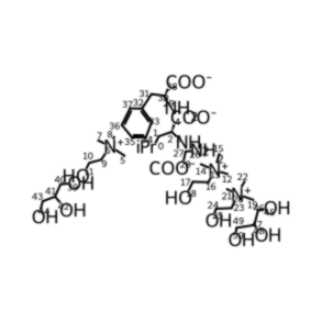 CC(C)C[C@H](N)C(=O)[O-].C[N+](C)(C)CCO.C[N+](C)(C)CCO.C[N+](C)(C)CCO.NCC(=O)[O-].N[C@@H](Cc1ccccc1)C(=O)[O-].OCC(O)CO.OCC(O)CO